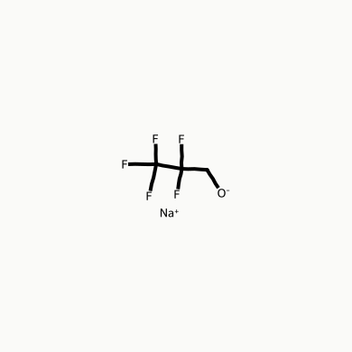 [Na+].[O-]CC(F)(F)C(F)(F)F